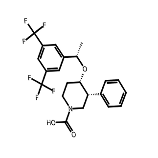 C[C@H](O[C@H]1CCN(C(=O)O)C[C@H]1c1ccccc1)c1cc(C(F)(F)F)cc(C(F)(F)F)c1